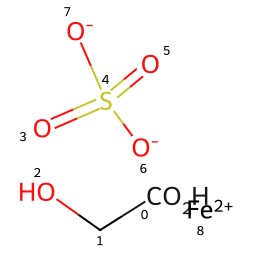 O=C(O)CO.O=S(=O)([O-])[O-].[Fe+2]